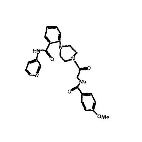 COc1ccc(C(=O)NCC(=O)N2CCN(c3ccccc3C(=O)Nc3cccnc3)CC2)cc1